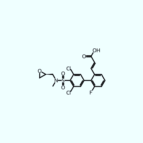 CN(C[C@H]1CO1)S(=O)(=O)c1c(Cl)cc(-c2c(F)cccc2/C=C/C(=O)O)cc1Cl